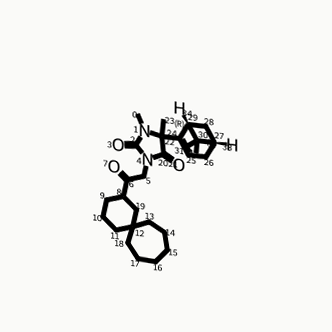 CN1C(=O)N(CC(=O)C2CCCC3(CCCCCC3)C2)C(=O)C1(C)C1=CC[C@H]2C[C@@H]1C2(C)C